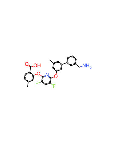 Cc1cc(Oc2nc(Oc3cc(C)ccc3C(=O)O)c(F)cc2F)cc(-c2cccc(CN)c2)c1